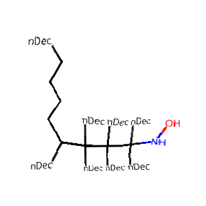 CCCCCCCCCCCCCCC(CCCCCCCCCC)C(CCCCCCCCCC)(CCCCCCCCCC)C(CCCCCCCCCC)(CCCCCCCCCC)C(CCCCCCCCCC)(CCCCCCCCCC)NO